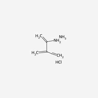 C=CC(=C)C(=C)N.Cl.N